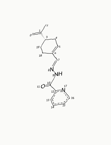 C=C(C)[C@@H]1CC=C(/C=N/NC(=O)c2ccccn2)CC1